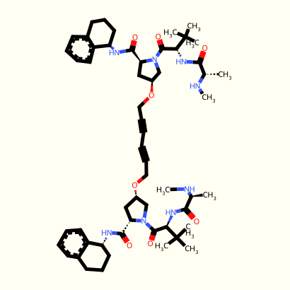 CN[C@@H](C)C(=O)N[C@H](C(=O)N1C[C@@H](OCC#CC#CCO[C@H]2C[C@@H](C(=O)N[C@@H]3CCCc4ccccc43)N(C(=O)[C@@H](NC(=O)[C@H](C)NC)C(C)(C)C)C2)C[C@H]1C(=O)N[C@@H]1CCCc2ccccc21)C(C)(C)C